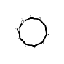 [CH]1CCCCCCCOO1